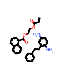 C=CC(=O)OCCOC(=O)c1cccc2ccccc12.Nc1ccc(N)c(C=Cc2ccccc2)c1